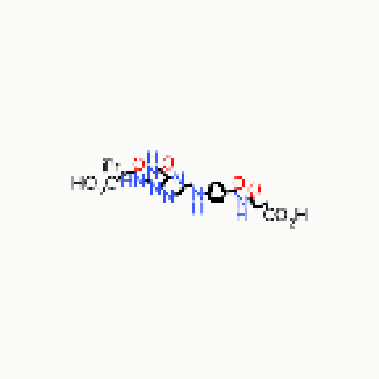 CC(C)C(CC(=O)O)C(=O)Nc1nc2ncc(CNc3ccc(C(=O)NC(=O)CCC(=O)O)cc3)nc2c(=O)[nH]1